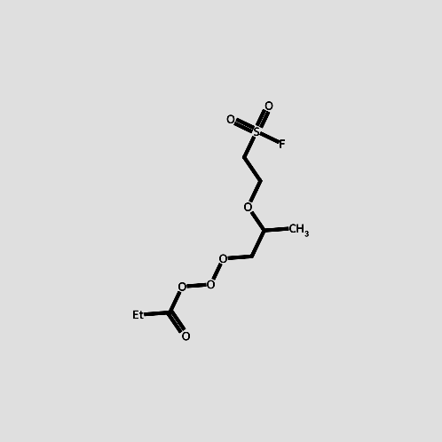 CCC(=O)OOOCC(C)OCCS(=O)(=O)F